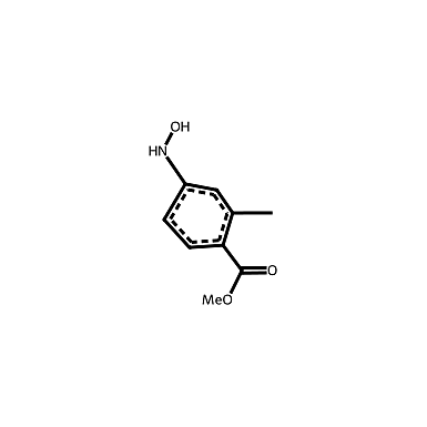 COC(=O)c1ccc(NO)cc1C